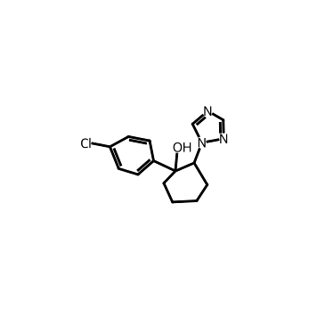 OC1(c2ccc(Cl)cc2)CCCCC1n1cncn1